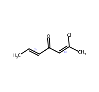 C/C=C/C(=O)/C=C(/C)Cl